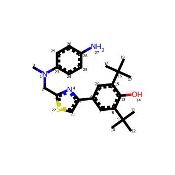 CN(Cc1nc(-c2cc(C(C)(C)C)c(O)c(C(C)(C)C)c2)cs1)c1ccc(N)cc1